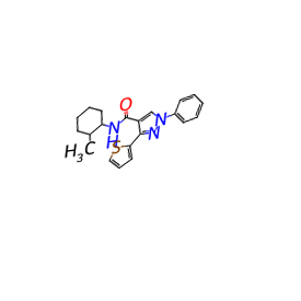 CC1CCCCC1NC(=O)c1cn(-c2ccccc2)nc1-c1cccs1